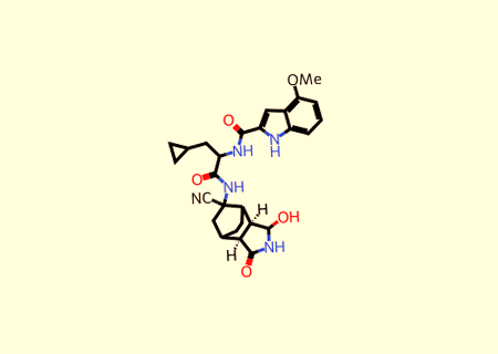 COc1cccc2[nH]c(C(=O)NC(CC3CC3)C(=O)NC3(C#N)CC4CCC3[C@H]3C(O)NC(=O)[C@@H]43)cc12